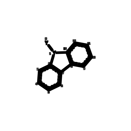 [Y][Y]1[c]2ccccc2-c2cccc[c]21